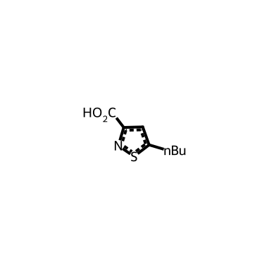 CCCCc1cc(C(=O)O)ns1